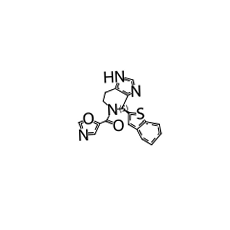 O=C(c1cnco1)N1CCc2[nH]cnc2[C@H]1c1cc2ccccc2s1